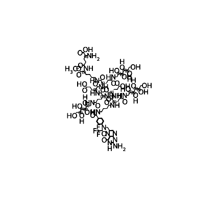 COC(=O)[C@H](CCCCNC(=O)[C@H](CCC(=O)NC[C@H](O)[C@@H](O)[C@H](O)[C@H](O)CO)NC(=O)[C@H](CCC(=O)O)NC(=O)[C@H](CCC(=O)NC[C@H](O)[C@@H](O)[C@H](O)[C@H](O)CO)NC(=O)[C@H](CCC(=O)O)NC(=O)[C@H](CCC(=O)NC[C@H](O)[C@@H](O)[C@H](O)[C@H](O)CO)NC(=O)CCCNC(=O)c1ccc(N(Cc2cnc3nc(N)[nH]c(=O)c3n2)C(=O)C(F)(F)F)cc1)NC(=O)CC[C@H](N)C(=O)O